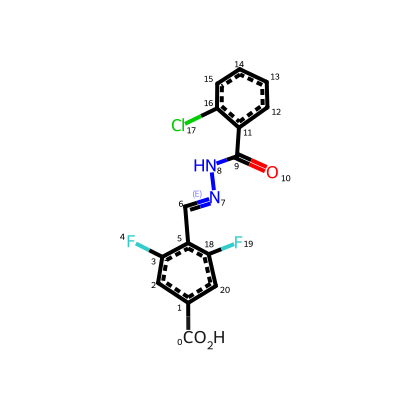 O=C(O)c1cc(F)c(/C=N/NC(=O)c2ccccc2Cl)c(F)c1